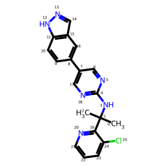 CC(C)(Nc1ncc(-c2ccc3[nH]ncc3c2)cn1)c1ncccc1Cl